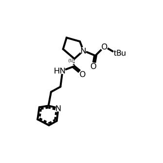 CC(C)(C)OC(=O)N1CCC[C@H]1C(=O)NCCc1ccccn1